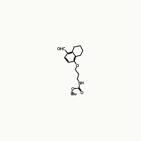 CC(C)(C)OC(=O)NCCCOc1ccc(C=O)c2c1CCCC2